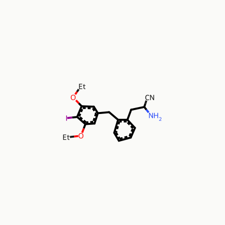 CCOc1cc(Cc2ccccc2CC(N)C#N)cc(OCC)c1I